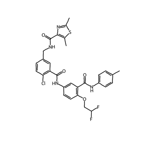 Cc1ccc(NC(=O)c2cc(NC(=O)c3cc(CNC(=O)c4nc(C)sc4C)ccc3Cl)ccc2OCC(F)F)cc1